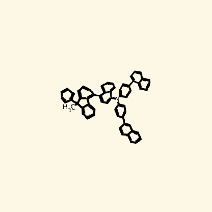 CC1(c2ccccc2)c2ccccc2-c2c(-c3ccc(N(c4ccc(-c5ccc6ccccc6c5)cc4)c4ccc(-c5cccc6ccccc56)cc4)c4ccccc34)cccc21